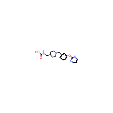 O=C(O)NCC1CCN(Cc2cccc(Oc3ncccn3)c2)CC1